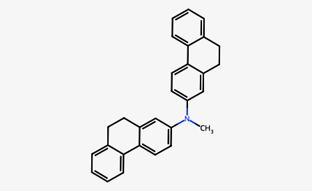 CN(c1ccc2c(c1)CCc1ccccc1-2)c1ccc2c(c1)CCc1ccccc1-2